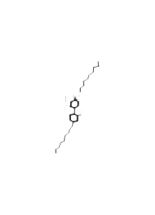 CCCCCCCCCCOc1ccc(-c2ccc(CCCCCCCCC)cc2F)c(F)c1F